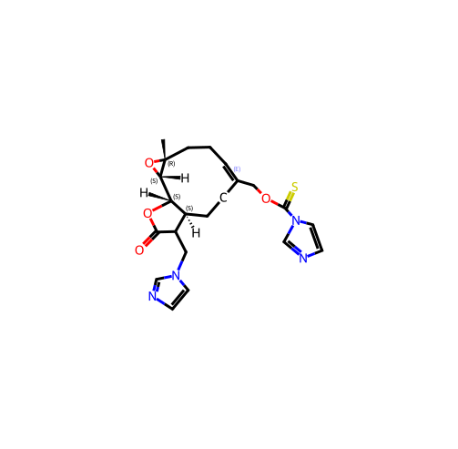 C[C@@]12CC/C=C(/COC(=S)n3ccnc3)CC[C@H]3C(Cn4ccnc4)C(=O)O[C@@H]3[C@@H]1O2